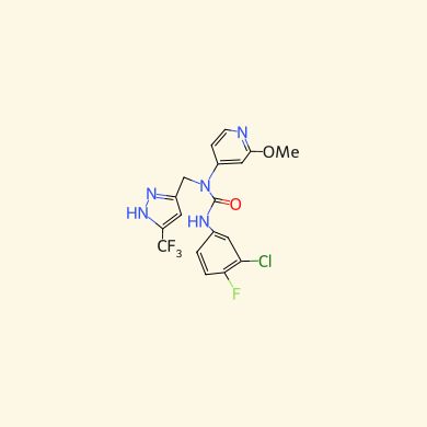 COc1cc(N(Cc2cc(C(F)(F)F)[nH]n2)C(=O)Nc2ccc(F)c(Cl)c2)ccn1